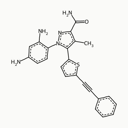 Cc1c(C(N)=O)nn(-c2ccc(N)cc2N)c1-c1ccc(C#Cc2ccccc2)s1